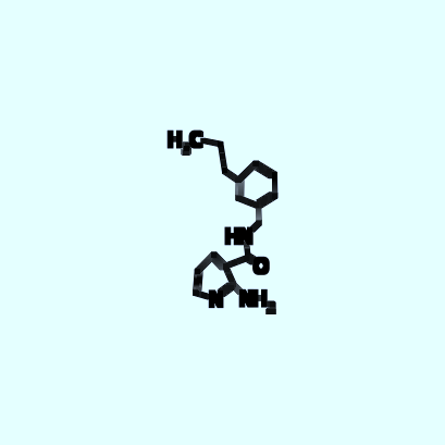 CCCc1cccc(CNC(=O)c2cccnc2N)c1